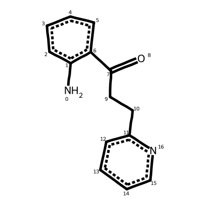 Nc1ccccc1C(=O)CCc1ccccn1